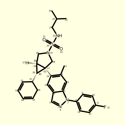 Cc1cc2c(cnn2-c2ccc(F)cc2)cc1[C@@]12CN(S(=O)(=O)NCC(C)C)C[C@@H]1[C@H]2C1C=CC=CC1